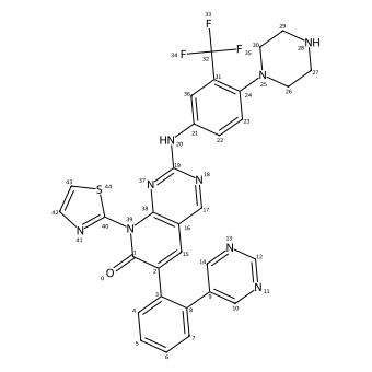 O=c1c(-c2ccccc2-c2cncnc2)cc2cnc(Nc3ccc(N4CCNCC4)c(C(F)(F)F)c3)nc2n1-c1nccs1